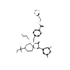 CCCC[C@H](c1ccc(C(=O)NCC2=NNNN2)cc1)N1C(=O)C(c2cc(F)cc(F)c2)=NC12CCC(C(C)(C)CC)CC2